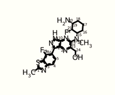 Cc1nc2ccc(-c3n[nH]c4nc(N(C)[C@@H]5CCC[C@H](N)[C@@H]5F)c(CO)nc34)c(F)c2s1